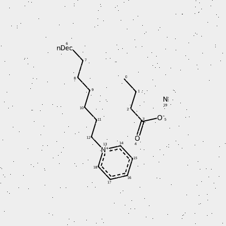 CCCC(=O)[O-].CCCCCCCCCCCCCCCC[n+]1ccccc1.[N]